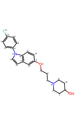 OC1CCN(CCCOc2ccc3c(ccn3-c3ccc(F)cc3)c2)CC1